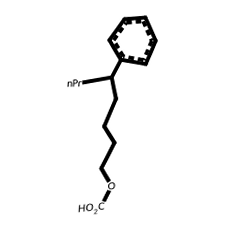 CCCC(CCCCOC(=O)O)c1ccccc1